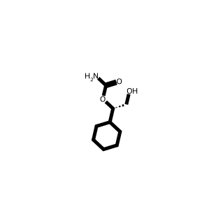 NC(=O)O[C@H](CO)C1CCCCC1